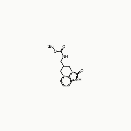 CC(C)(C)OC(=O)NCC1Cc2cccc3[nH]c(=O)n(c23)C1